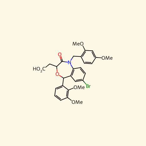 COc1ccc(CN2C(=O)C(CC(=O)O)OC(c3cccc(OC)c3OC)c3cc(Br)ccc32)c(OC)c1